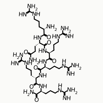 N=C(N)NCCC[C@H](NC(=O)[C@H](CCCNC(=N)N)NC(=O)[C@H](CCCNC(=N)N)NC(=O)[C@H](CCCNC(=N)N)NC(=O)[C@H](CCC(N)=O)NC(=O)[C@@H](N)CCCNC(=N)N)C(N)=O